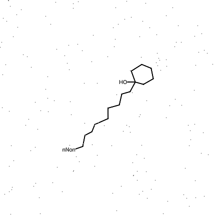 CCCCCCCCCCCCCCCCCCC1(O)CCCCC1